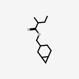 CCC(C)C(=O)OCC1CCC2CC2C1